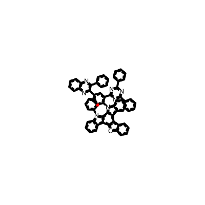 c1ccc(-c2nc(-c3ccccc3)nc(-c3cc(-c4nc5ccccc5nc4-c4ccccc4)ccc3-n3c4ccccc4c4c5c6ccccc6oc5c5c6ccccc6n(-c6ccccc6)c5c43)n2)cc1